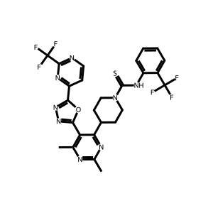 Cc1nc(C)c(-c2nnc(-c3ccnc(C(F)(F)F)n3)o2)c(C2CCN(C(=S)Nc3ccccc3C(F)(F)F)CC2)n1